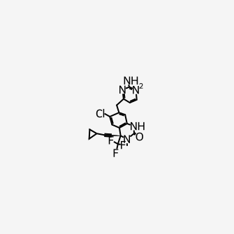 CN1C(=O)Nc2cc(Cc3ccnc(N)n3)c(Cl)cc2[C@@]1(C#CC1CC1)C(F)(F)F